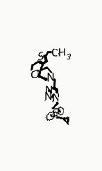 CCc1cc2c(s1)CCOC21CCN(Cc2cn(CCS(=O)(=O)CC3CC3)nn2)CC1